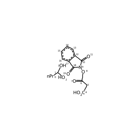 CCCC(O)O.O=C(O)CC(=O)ON1C(=O)c2ccccc2C1=O